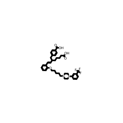 O=C(O)CCCCC(/C=C/c1ccccc1OCCCCCN1CCN(c2cccc(C(F)(F)F)c2)CC1)Cc1ccc(C(=O)O)cc1